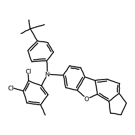 Cc1cc(Cl)c(Cl)c(N(c2ccc(C(C)(C)C)cc2)c2ccc3c(c2)oc2c4c(ccc23)CCC4)c1